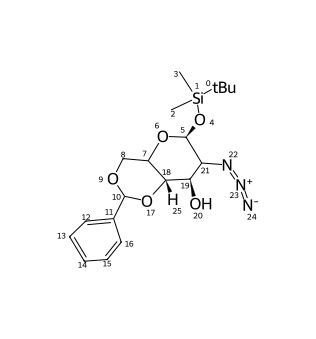 CC(C)(C)[Si](C)(C)O[C@@H]1OC2COC(c3ccccc3)O[C@H]2[C@H](O)C1N=[N+]=[N-]